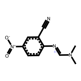 CN(C)/C=N/c1ccc([N+](=O)[O-])cc1C#N